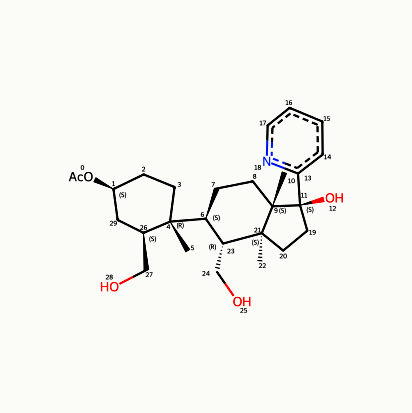 CC(=O)O[C@H]1CC[C@](C)([C@H]2CC[C@]3(C)[C@](O)(c4ccccn4)CC[C@@]3(C)[C@@H]2CO)[C@@H](CO)C1